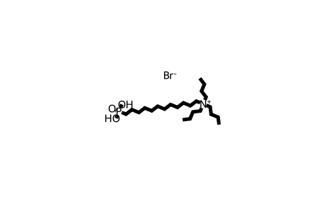 CCCC[N+](CCCC)(CCCC)CCCCCCCCCCCCP(=O)(O)O.[Br-]